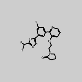 O=C1CCCN1CCOc1cccnc1-c1cc(F)cc(-c2nnc(C(F)F)o2)c1